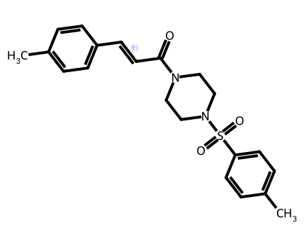 Cc1ccc(/C=C/C(=O)N2CCN(S(=O)(=O)c3ccc(C)cc3)CC2)cc1